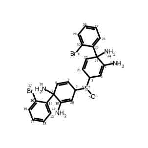 NC1=CC([S+]([O-])C2C=CC(N)(c3ccccc3Br)C(N)=C2)C=CC1(N)c1ccccc1Br